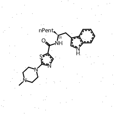 CCCCC[C@@H](Cc1c[nH]c2ccccc12)NC(=O)c1cnc(N2CCN(C)CC2)s1